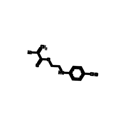 C=C(CC)C(=O)OCCNc1ccc(C=O)cc1